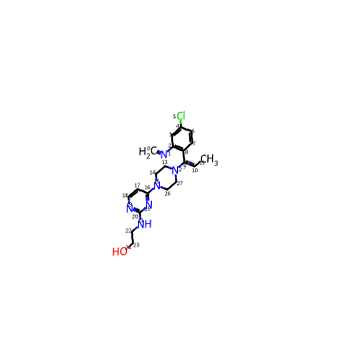 C=Nc1cc(Cl)ccc1/C(=C\C)N1CCN(c2ccnc(NCCO)n2)CC1